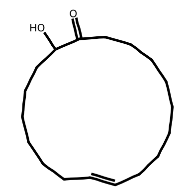 O=C1CCCCCCCC/C=C/CCCCCCC1O